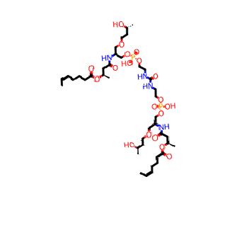 C/C=C\CCCC(=O)O[C@H](C)CC(=O)NC(COCC[C@@H](C)O)COP(=O)(O)OCCNC(=O)NCCOP(=O)(O)OCC(COCC[C@@H](C)O)NC(=O)C[C@@H](C)OC(=O)CCC/C=C\C